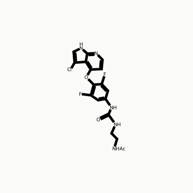 CC(=O)NCCNC(=O)Nc1cc(F)c(Oc2ccnc3[nH]cc(Cl)c23)c(F)c1